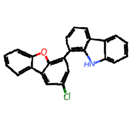 Clc1cc(-c2cccc3c2[nH]c2ccccc23)c2oc3ccccc3c2c1